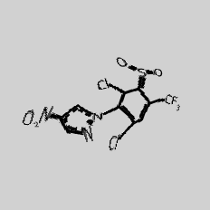 O=[N+]([O-])c1cnn(C2=C(Cl)C=C(C(F)(F)F)C(=S(=O)=O)C2Cl)c1